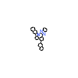 c1ccc2cc(-c3ccc(-c4nc5ccccc5nc4-n4c5ccccc5c5cc6ccccc6cc54)cc3)ccc2c1